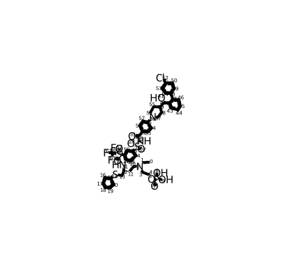 CCN(CCOP(=O)(O)O)CC[C@H](CSc1ccccc1)Nc1ccc(S(=O)(=O)NC(=O)c2ccc(N3CCC(C(O)c4ccccc4-c4ccc(Cl)cc4)CC3)cc2)cc1S(=O)(=O)C(F)(F)F